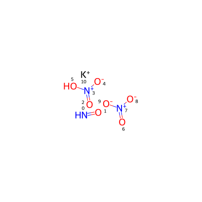 N=O.O=[N+]([O-])O.O=[N+]([O-])[O-].[K+]